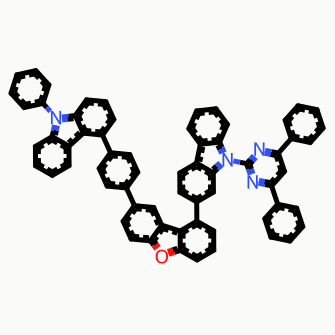 c1ccc(-c2cc(-c3ccccc3)nc(-n3c4ccccc4c4ccc(-c5cccc6oc7ccc(-c8ccc(-c9cccc%10c9c9ccccc9n%10-c9ccccc9)cc8)cc7c56)cc43)n2)cc1